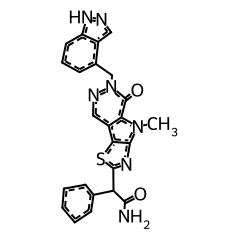 Cn1c2nc(C(C(N)=O)c3ccccc3)sc2c2cnn(Cc3cccc4[nH]ncc34)c(=O)c21